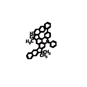 CC1(C)c2cc(N(c3ccccc3)c3ccc(-c4ccccc4)cc3-c3cccc4c3-c3c(ccc5ccccc35)C4(C)C)ccc2-c2cc3ccccc3cc21